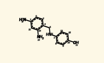 Nc1ccc(CNc2ccc(O)cc2)c(N)c1